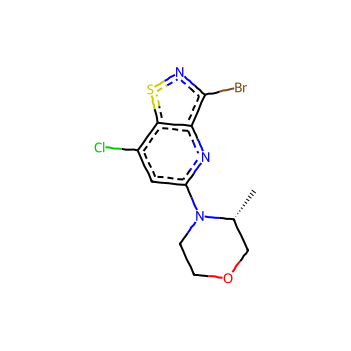 C[C@@H]1COCCN1c1cc(Cl)c2snc(Br)c2n1